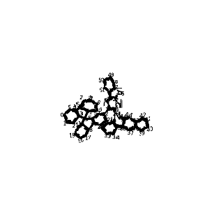 c1ccc2c(c1)-c1ccccc1C21c2ccccc2-c2ccc(-c3nc4c(nc3-n3c5ccccc5c5cc6ccccc6cc53)sc3ccccc34)cc21